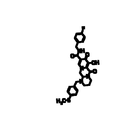 CSc1ccc(CN2CCCN3C(=O)c4c(O)c(=O)c(C(=O)NCc5ccc(F)cc5)cn4CC23)cc1